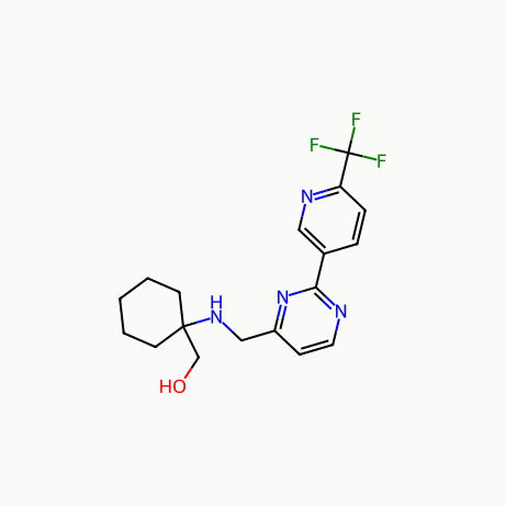 OCC1(NCc2ccnc(-c3ccc(C(F)(F)F)nc3)n2)CCCCC1